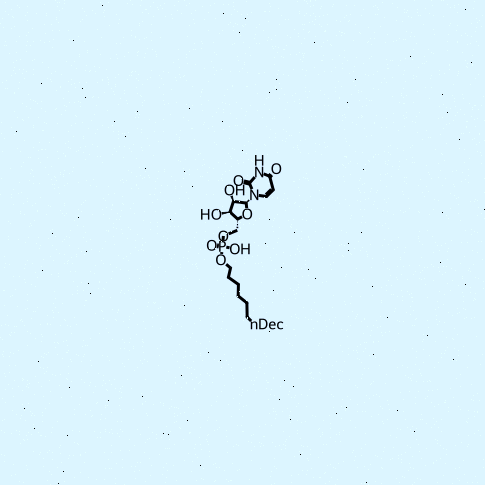 CCCCCCCCCCCCCCCCOP(=O)(O)OC[C@H]1O[C@@H](n2ccc(=O)[nH]c2=O)[C@H](O)[C@@H]1O